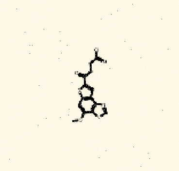 COc1cc2sc(C(=O)CCC(=O)O)cc2c2nc[nH]c12